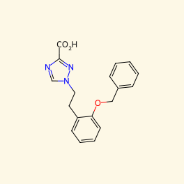 O=C(O)c1ncn(CCc2ccccc2OCc2ccccc2)n1